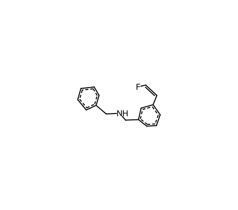 F/C=C\c1cccc(CNCc2ccccc2)c1